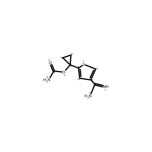 N=C(N)c1csc(C2(OC(N)=O)CC2)c1